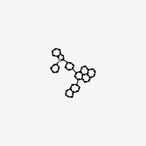 c1ccc(-n2c(-c3ccc(-c4cc(-c5ccc6ccccc6c5)c5ccc6cccc7ccc4c5c76)cc3)cc3ccccc32)cc1